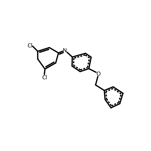 ClC1=CC(=Nc2ccc(OCc3ccccc3)cc2)C=C(Cl)C1